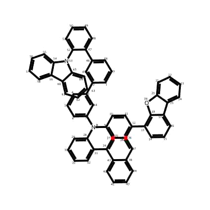 c1cc(-c2cccc(N(c3ccc(-c4cccc5c4oc4ccccc45)cc3)c3ccccc3-c3cccc4ccccc34)c2)cc(-c2ccccc2-n2c3ccccc3c3ccccc32)c1